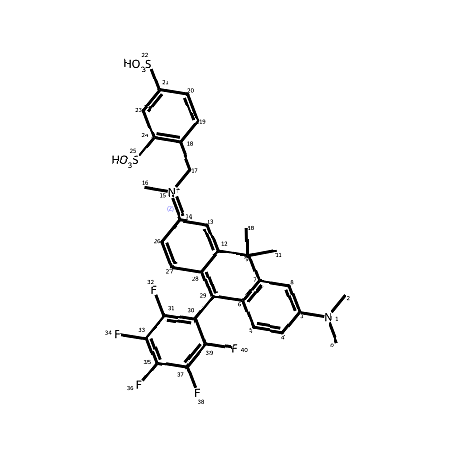 CN(C)c1ccc2c(c1)C(C)(C)C1=C/C(=[N+](/C)Cc3ccc(S(=O)(=O)O)cc3S(=O)(=O)O)C=CC1=C2c1c(F)c(F)c(F)c(F)c1F